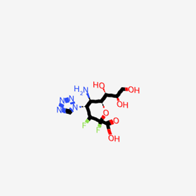 N[C@H]1[C@H]([C@H](O)[C@H](O)CO)OC(F)(C(=O)O)C(F)[C@@H]1n1cnnn1